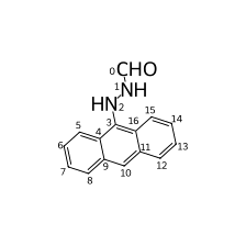 O=CNNc1c2ccccc2cc2ccccc12